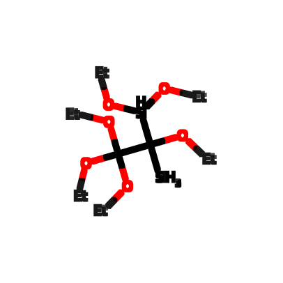 CCO[SiH](OCC)C([SiH3])(OCC)C(OCC)(OCC)OCC